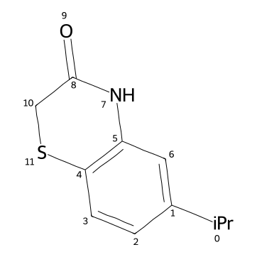 CC(C)c1ccc2c(c1)NC(=O)CS2